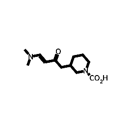 CN(C)C=CC(=O)CC1CCCN(C(=O)O)C1